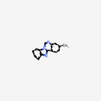 Cc1ccc2c(c1)ncn1c3ccccc3nc21